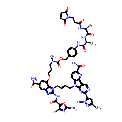 CCc1nc(C)oc1C(=O)Nc1nc2cc(C(N)=O)cc(OCCCN(C)C(=O)OCc3ccc(NC(=O)[C@H](C)NC(=O)[C@@H](NC(=O)CCN4C(=O)C=CC4=O)C(C)C)cc3)c2n1C/C=C/Cn1c2ccc(C(N)=O)nc2c2cnc(-c3cc(C)nn3CC)nc21